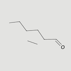 CC.CCCCCC=O